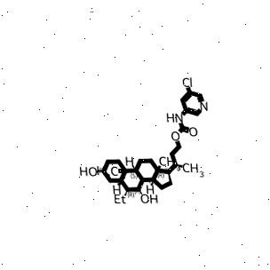 CC[C@H]1[C@@H](O)C2[C@H](CC[C@]3(C)[C@@H]([C@H](C)CCOC(=O)Nc4cncc(Cl)c4)CC[C@@H]23)C2(C)CC[C@@H](O)C[C@@H]12